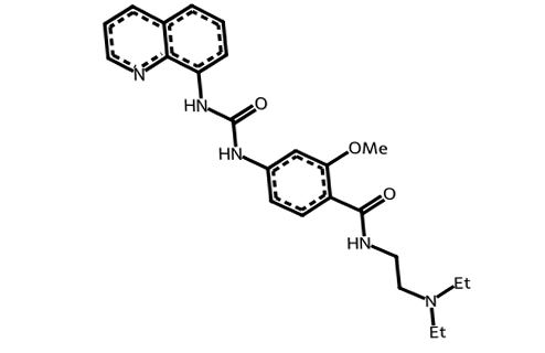 CCN(CC)CCNC(=O)c1ccc(NC(=O)Nc2cccc3cccnc23)cc1OC